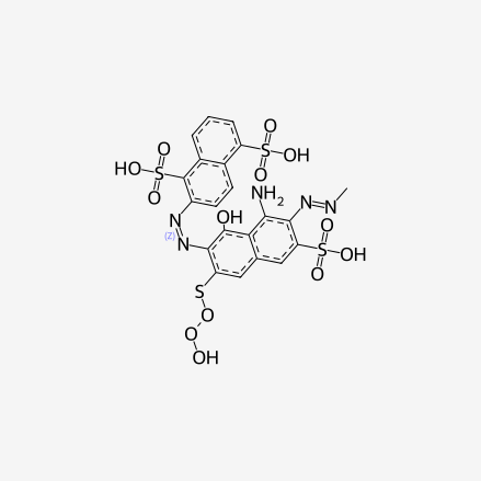 CN=Nc1c(S(=O)(=O)O)cc2cc(SOOO)c(/N=N\c3ccc4c(S(=O)(=O)O)cccc4c3S(=O)(=O)O)c(O)c2c1N